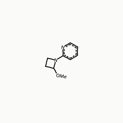 COC1CCN1c1cc[c]cn1